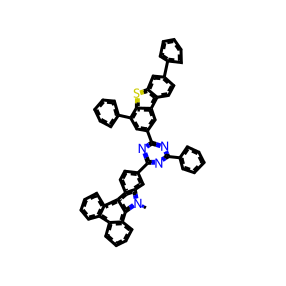 Cn1c2cc(-c3nc(-c4ccccc4)nc(-c4cc(-c5ccccc5)c5sc6cc(-c7ccccc7)ccc6c5c4)n3)ccc2c2c3ccccc3c3ccccc3c21